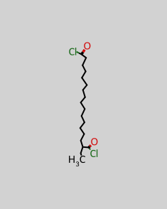 CCC(CCCCCCCCCCCCCCC(=O)Cl)C(=O)Cl